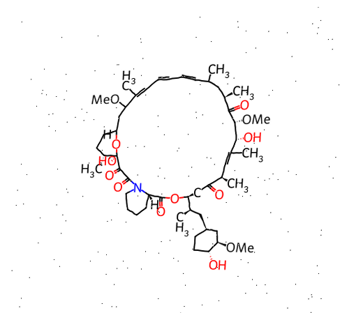 COC1C[C@@H]2CC[C@@H](C)[C@@](O)(O2)C(=O)C(=O)N2CCCC[C@H]2C(=O)O[C@H]([C@H](C)C[C@@H]2CC[C@@H](O)[C@H](OC)C2)CC(=O)[C@H](C)/C=C(\C)[C@@H](O)[C@@H](OC)C(=O)[C@H](C)CC(C)/C=C/C=C/C=C/1C